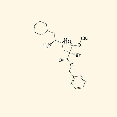 CC(C)[C@@](C[C@H](O)[C@@H](N)CC1CCCCC1)(C(=O)OCc1ccccc1)C(=O)OC(C)(C)C